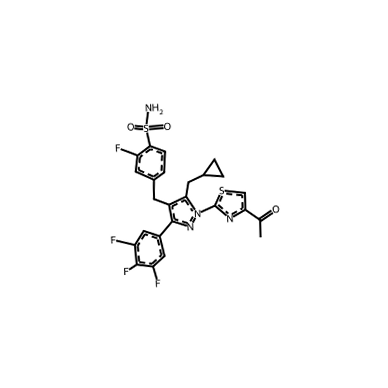 CC(=O)c1csc(-n2nc(-c3cc(F)c(F)c(F)c3)c(Cc3ccc(S(N)(=O)=O)c(F)c3)c2CC2CC2)n1